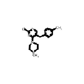 Cc1ccc(Cc2cnc(Cl)nc2N2CCN(C)CC2)cc1